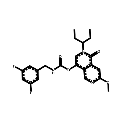 CCC(CC)n1cc(OC(=O)NCc2cc(F)cc(F)c2)c2cnc(OC)cc2c1=O